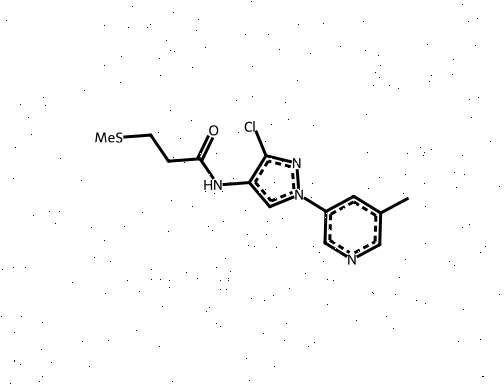 CSCCC(=O)Nc1cn(-c2cncc(C)c2)nc1Cl